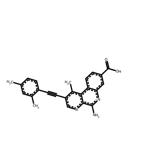 Cc1ccc(C#Cc2cnc3c(N)nc4cc(C(=O)O)ccc4c3c2C)c(C)c1